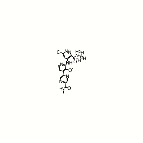 [2H]C([2H])([2H])NC(=O)c1nnc(Cl)cc1Nc1nccc(-c2cnc(C(=O)N(C)C)cn2)c1OC